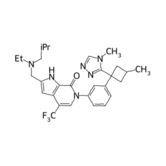 CCN(Cc1cc2c(C(F)(F)F)cn(-c3cccc(C4(c5nncn5C)CC(C)C4)c3)c(=O)c2[nH]1)CC(C)C